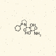 NC(=O)[C@H](O)[C@@H](O)C(=O)N1CCC[C@@H]1c1ccccc1